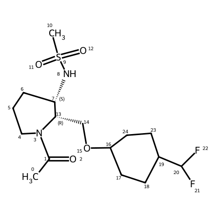 CC(=O)N1CCC[C@H](NS(C)(=O)=O)[C@@H]1COC1CCC(C(F)F)CC1